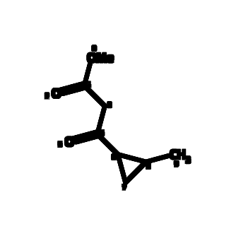 COC(=O)CC(=O)C1CC1C